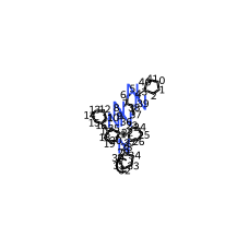 c1ccc(-c2ncc3nc(-n4c5ccccc5c5ccc6c(c7ccccc7n6-c6ccccc6)c54)ncc3n2)cc1